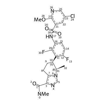 CNC(=O)c1ncn2c1CC[C@@H](c1c(F)ccc(NS(=O)(=O)c3cc(Cl)cnc3OC)c1F)[C@H]2C